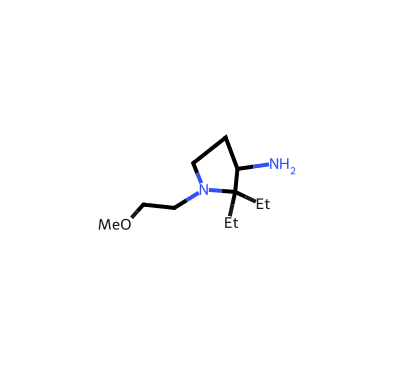 CCC1(CC)C(N)CCN1CCOC